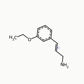 CCOc1cccc(/C=C/CN)c1